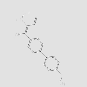 C=C/C(NN)=C(/N)c1ccc(-c2ccc(SN)cc2)cc1